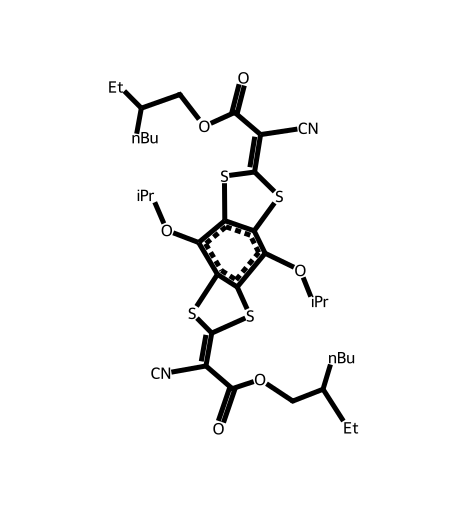 [C-]#[N+]C(C(=O)OCC(CC)CCCC)=C1Sc2c(OC(C)C)c3c(c(OC(C)C)c2S1)SC(=C(C#N)C(=O)OCC(CC)CCCC)S3